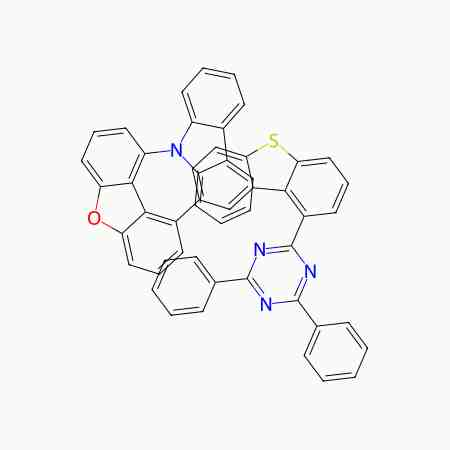 c1ccc(-c2nc(-c3ccccc3)nc(-c3cccc4sc5ccc(-c6cccc7oc8cccc(-n9c%10ccccc%10c%10ccccc%109)c8c67)cc5c34)n2)cc1